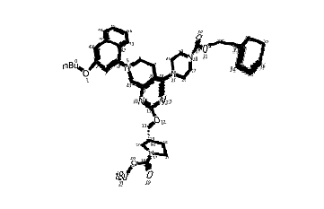 CCCCOc1cc(N2CCc3c(nc(OC[C@@H]4CCN(C(=O)OC(C)(C)C)C4)nc3N3CCN(C(=O)OCc4ccccc4)CC3)C2)c2ccccc2c1